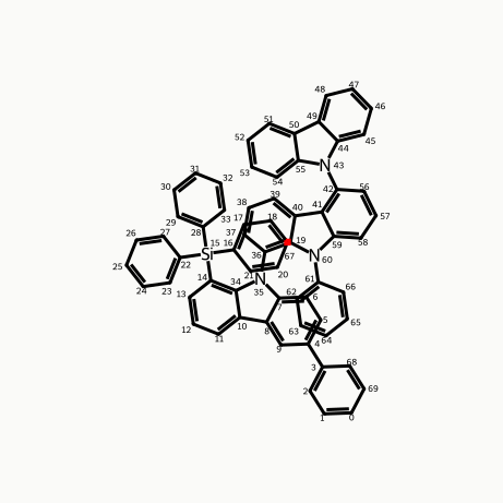 c1ccc(-c2ccc3c(c2)c2cccc([Si](c4ccccc4)(c4ccccc4)c4ccccc4)c2n3-c2cccc3c4c(-n5c6ccccc6c6ccccc65)cccc4n(-c4ccccc4)c23)cc1